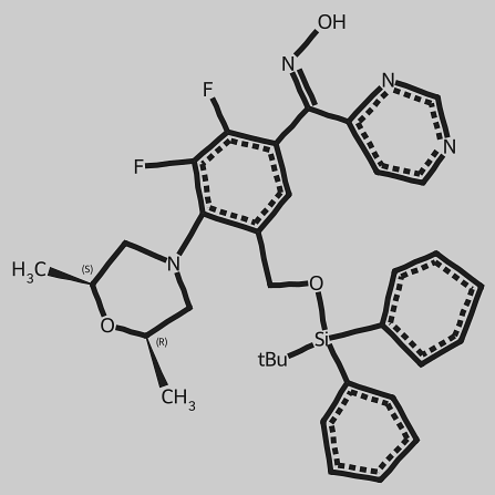 C[C@@H]1CN(c2c(CO[Si](c3ccccc3)(c3ccccc3)C(C)(C)C)cc(C(=NO)c3ccncn3)c(F)c2F)C[C@H](C)O1